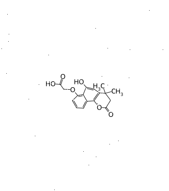 CC1(C)CC(=O)Oc2c1cc(O)c1c(OCC(=O)O)cccc21